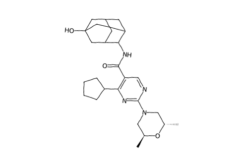 C[C@H]1CN(c2ncc(C(=O)NC3C4CC5CC3CC(O)(C5)C4)c(C3CCCC3)n2)C[C@H](C)O1